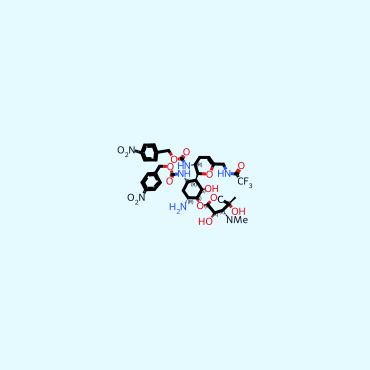 CN[C@@H]1[C@@H](O)[C@@H](O[C@@H]2[C@@H](O)[C@H](C3OC(CNC(=O)C(F)(F)F)=CC[C@H]3NC(=O)OCc3ccc([N+](=O)[O-])cc3)[C@@H](NC(=O)OCc3ccc([N+](=O)[O-])cc3)C[C@H]2N)OC[C@]1(C)O